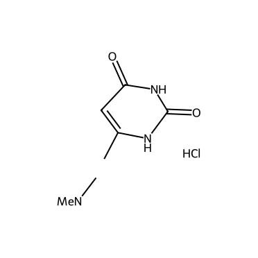 CNC.Cc1cc(=O)[nH]c(=O)[nH]1.Cl